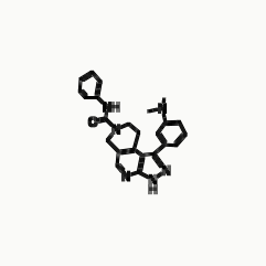 CN(C)c1cccc(-c2n[nH]c3ncc4c(c23)CCN(C(=O)Nc2ccccc2)C4)c1